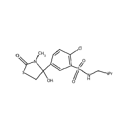 CC(C)CNS(=O)(=O)c1cc(C2(O)CSC(=O)N2C)ccc1Cl